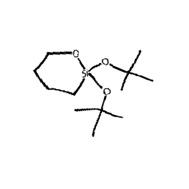 CC(C)(C)O[Si]1(OC(C)(C)C)CCCCO1